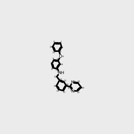 c1ccc(Oc2cccc(NCc3cccc(-c4ncccn4)c3)c2)cc1